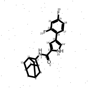 O=C(NC1C2CC3CC(C2)CC1C3)c1cc(-c2ccc(F)cc2F)c[nH]1